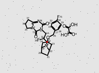 O=C(O)C(=O)O.O=c1nc2n(c(=O)n1C[C@H](F)CN1C3CCC1CC(OCc1ccc(F)cc1)C3)CCC2